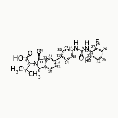 CC(C)C(C(=O)O)N1Cc2ccc(-c3ccc(NC(=O)Nc4c(F)cccc4F)cc3)cc2C1=O